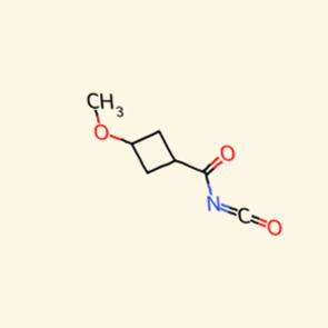 COC1CC(C(=O)N=C=O)C1